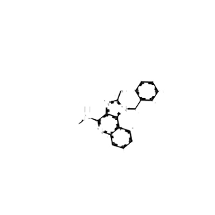 CNc1nc2ccccc2c2c1nc(C)n2Cc1ccccc1